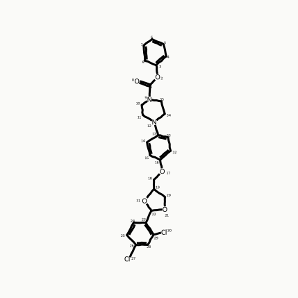 O=C(Oc1ccccc1)N1CCN(c2ccc(OCC3COC(c4ccc(Cl)cc4Cl)O3)cc2)CC1